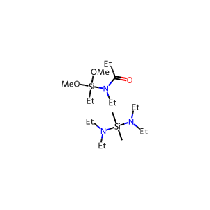 CCC(=O)N(CC)[Si](CC)(OC)OC.CCN(CC)[Si](C)(C)N(CC)CC